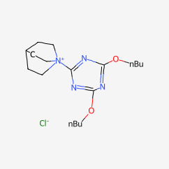 CCCCOc1nc(OCCCC)nc([N+]23CCC(CC2)CC3)n1.[Cl-]